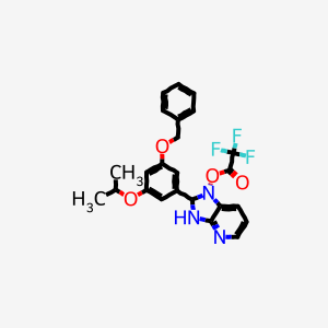 CC(C)Oc1cc(OCc2ccccc2)cc(C2Nc3ncccc3N2OC(=O)C(F)(F)F)c1